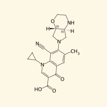 Cc1cc2c(=O)c(C(=O)O)cn(C3CC3)c2c(C#N)c1N1C[C@@H]2NCCO[C@H]2C1